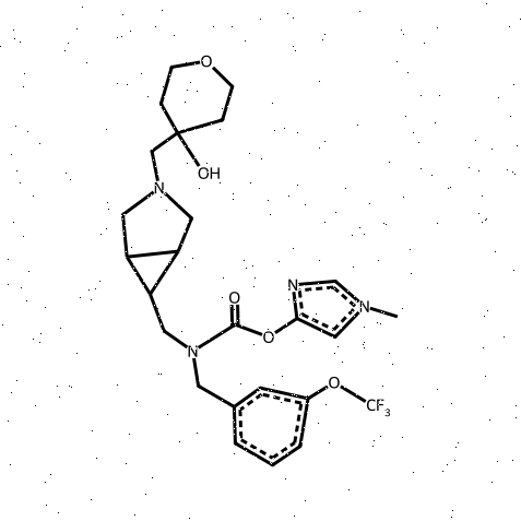 Cn1cnc(OC(=O)N(Cc2cccc(OC(F)(F)F)c2)CC2C3CN(CC4(O)CCOCC4)CC32)c1